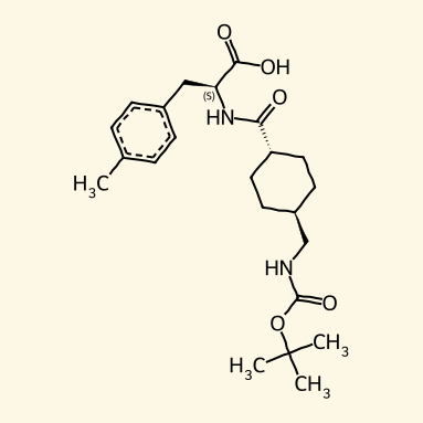 Cc1ccc(C[C@H](NC(=O)[C@H]2CC[C@H](CNC(=O)OC(C)(C)C)CC2)C(=O)O)cc1